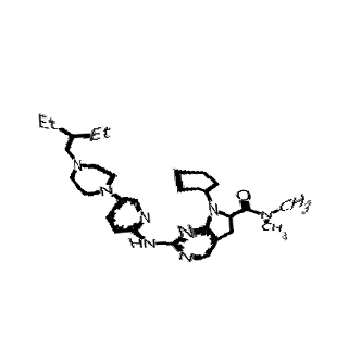 CCC(CC)CN1CCN(c2ccc(Nc3ncc4c(n3)N(C3CCCC3)C(C(=O)N(C)C)C4)nc2)CC1